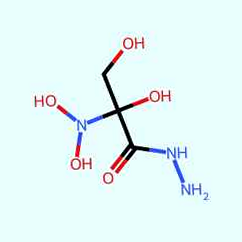 NNC(=O)C(O)(CO)N(O)O